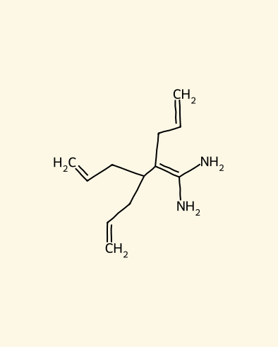 C=CCC(=C(N)N)C(CC=C)CC=C